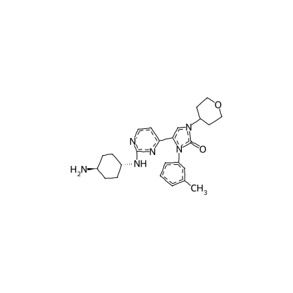 Cc1cccc(-n2c(-c3ccnc(N[C@H]4CC[C@H](N)CC4)n3)cn(C3CCOCC3)c2=O)c1